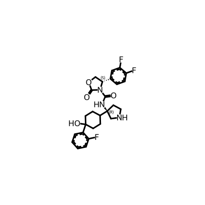 O=C(N[C@@]1(C2CCC(O)(c3ccccc3F)CC2)CCNC1)N1C(=O)OC[C@@H]1c1ccc(F)c(F)c1